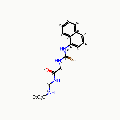 CCOC(=O)NCNC(=O)CNC(=S)Nc1cccc2ccccc12